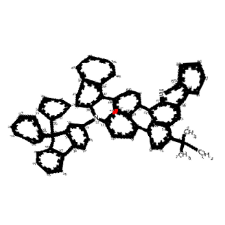 CC(C)(C)c1ccc(-c2ccc(N(c3ccc4c(c3)C(c3ccccc3)(c3ccccc3)c3ccccc3-4)c3ccc4ccccc4c3-c3ccc(-c4cccc5c4sc4ccccc45)cc3)cc2)cc1